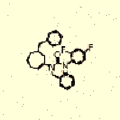 O=C(Nc1ccc(F)cc1F)N(Cc1ccccc1)C1=CCCCC(Cc2ccccc2)C1